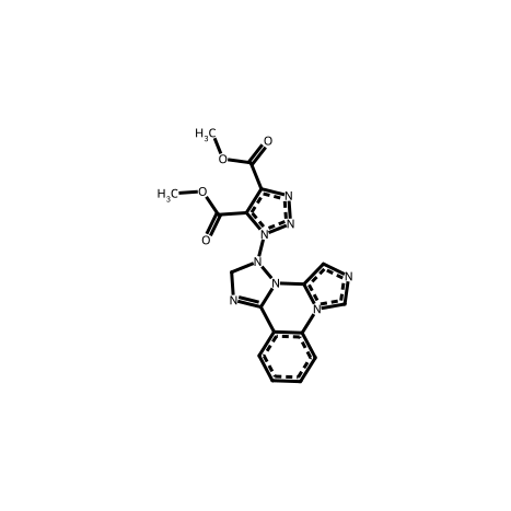 COC(=O)c1nnn(N2CN=C3c4ccccc4-n4cncc4N32)c1C(=O)OC